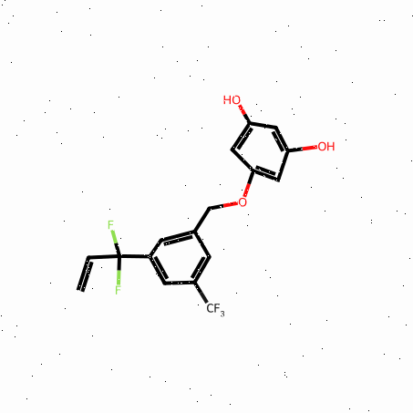 C=CC(F)(F)c1cc(COc2cc(O)cc(O)c2)cc(C(F)(F)F)c1